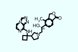 Cc1c([C@@H](O)CN2CCC(C3(Nc4nccn5cnnc45)CCC3)C2)ccc2c1COC2=O